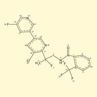 CC(F)(CNC(=O)c1ccccc1C(F)(F)F)c1ncc(-c2cncc(F)c2)cc1Cl